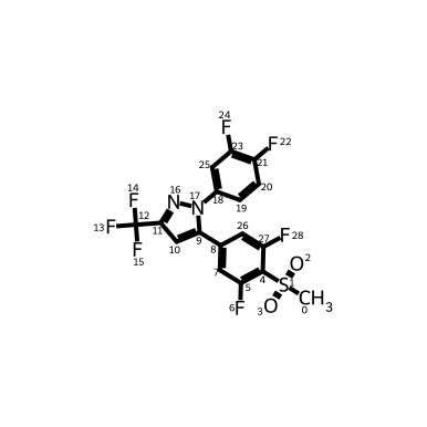 CS(=O)(=O)c1c(F)cc(-c2cc(C(F)(F)F)nn2-c2ccc(F)c(F)c2)cc1F